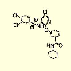 O=C(NC1CCCCC1)c1cccc(Oc2ncc(Cl)cc2NS(=O)(=O)c2ccc(Cl)c(Cl)c2)c1